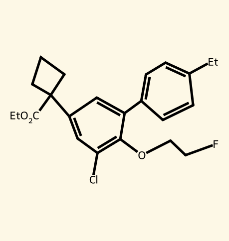 CCOC(=O)C1(c2cc(Cl)c(OCCF)c(-c3ccc(CC)cc3)c2)CCC1